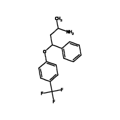 CC(N)CC(Oc1ccc(C(F)(F)F)cc1)c1ccccc1